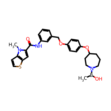 CB(O)N1CCCC(Oc2ccc(OCc3cccc(NC(=O)c4cc5sccc5n4C)c3)cc2)CC1